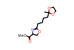 COC(=O)C1COC(CCCCC2(C)OCCO2)=N1